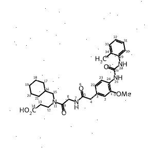 COc1cc(CC(=O)NCC(=O)N(CCC(=O)O)CC2CCCCC2)ccc1NC(=O)Nc1ccccc1C